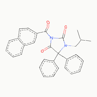 CC(C)CN1C(=O)N(C(=O)c2ccc3ccccc3c2)C(=O)C1(c1ccccc1)c1ccccc1